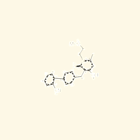 COCCn1c(C)cc(O)c(Cc2ccc(-c3ccccc3C#N)cc2)c1=O